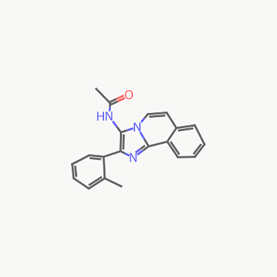 CC(=O)Nc1c(-c2ccccc2C)nc2c3ccccc3ccn12